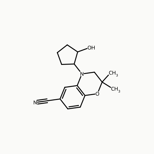 CC1(C)CN(C2CCCC2O)c2cc(C#N)ccc2O1